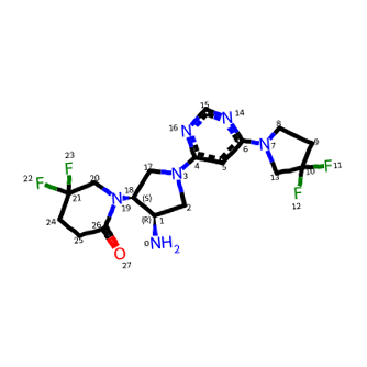 N[C@@H]1CN(c2cc(N3CCC(F)(F)C3)ncn2)C[C@@H]1N1CC(F)(F)CCC1=O